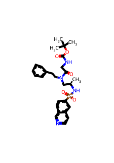 C[C@H](CN(CCc1ccccc1)C(=O)CNC(=O)OC(C)(C)C)NS(=O)(=O)c1ccc2cnccc2c1